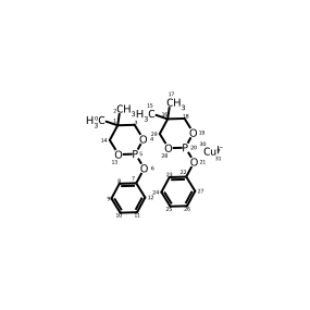 CC1(C)COP(Oc2ccccc2)OC1.CC1(C)COP(Oc2ccccc2)OC1.[Cu+].[I-]